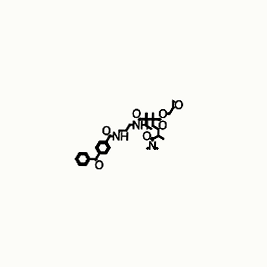 CCC(C)(C(=O)NCCCNC(=O)c1ccc(C(=O)c2ccccc2)cc1)C(C)(CCC(C)C(=O)N(C)C)C(=O)OCC1CO1